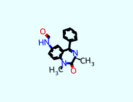 C[C@@H]1N=C(c2ccccc2)c2cc(NC=O)ccc2N(C)C1=O